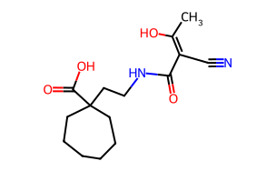 CC(O)=C(C#N)C(=O)NCCC1(C(=O)O)CCCCCC1